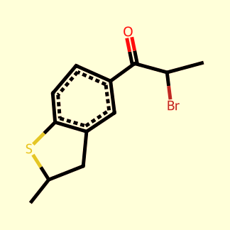 CC1Cc2cc(C(=O)C(C)Br)ccc2S1